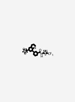 CC(C)(c1cc(-c2cccc(C(=O)Nc3nnc(C(F)(F)F)s3)c2)c2ncccc2c1)S(C)(=O)=O